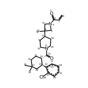 C=CC(=O)N1CC(F)(C2CCN(C(=O)[C@H]3CCC(C)(C)C[C@@H]3c3ccccc3Cl)CC2)C1